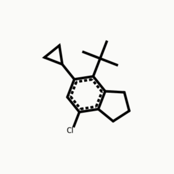 CC(C)(C)c1c(C2CC2)cc(Cl)c2c1CCC2